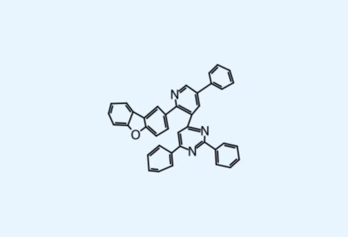 c1ccc(-c2cnc(-c3ccc4oc5ccccc5c4c3)c(-c3cc(-c4ccccc4)nc(-c4ccccc4)n3)c2)cc1